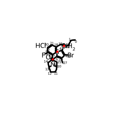 CCCOc1sc(C(=O)N2C3CCC2CC(c2cc(CN)ccc2F)C3)c(C)c1Br.Cl